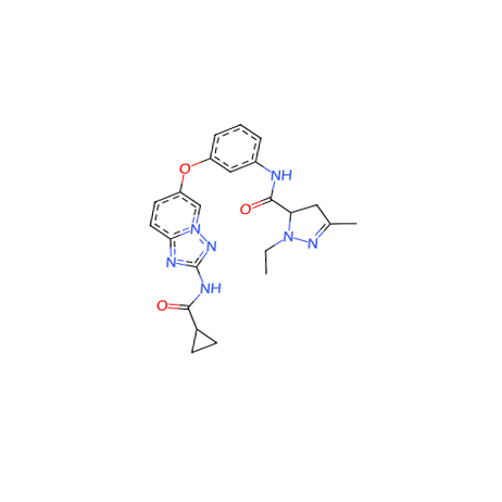 CCN1N=C(C)CC1C(=O)Nc1cccc(Oc2ccc3nc(NC(=O)C4CC4)nn3c2)c1